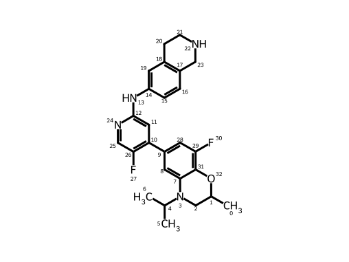 CC1CN(C(C)C)c2cc(-c3cc(Nc4ccc5c(c4)CCNC5)ncc3F)cc(F)c2O1